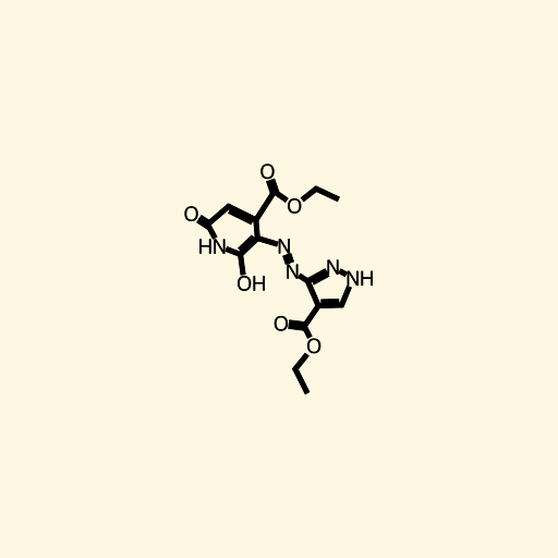 CCOC(=O)c1c[nH]nc1N=Nc1c(C(=O)OCC)cc(=O)[nH]c1O